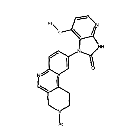 CCOc1ccnc2[nH]c(=O)n(-c3ccc4ncc5c(c4c3)CCN(C(C)=O)C5)c12